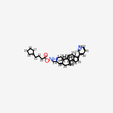 C[C@]12CCC(CNOC(=O)CCCC3CCCC3)C=C1CC[C@H]1[C@@H]2CC[C@]2(C)C(c3cccnc3)=CC[C@@H]12